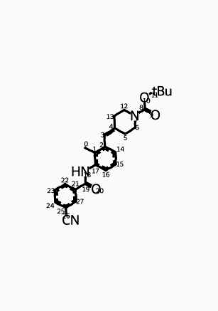 Cc1c(C=C2CCN(C(=O)OC(C)(C)C)CC2)cccc1NC(=O)c1cccc(C#N)c1